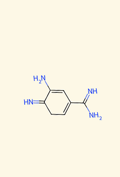 N=C(N)C1=CCC(=N)C(N)=C1